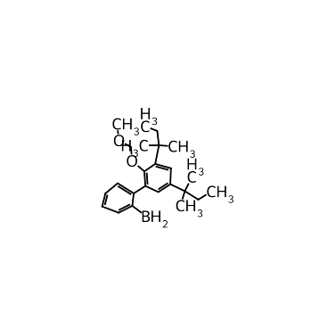 Bc1ccccc1-c1cc(C(C)(C)CC)cc(C(C)(C)CC)c1OCOC